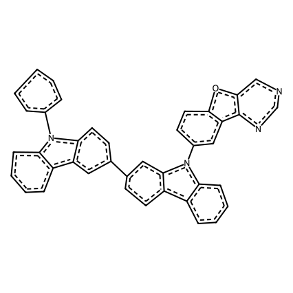 c1ccc(-n2c3ccccc3c3cc(-c4ccc5c6ccccc6n(-c6ccc7oc8cncnc8c7c6)c5c4)ccc32)cc1